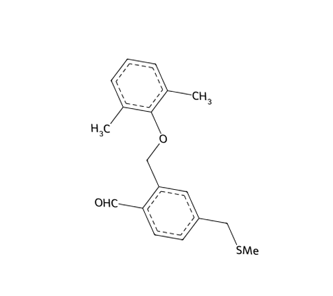 CSCc1ccc(C=O)c(COc2c(C)cccc2C)c1